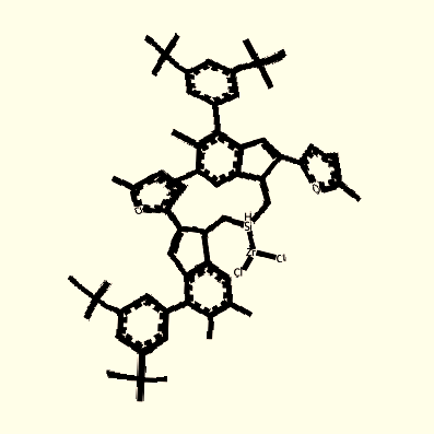 Cc1ccc(C2=Cc3c(cc(C)c(C)c3-c3cc(C(C)(C)C)cc(C(C)(C)C)c3)C2C[SiH](CC2C(c3ccc(C)o3)=Cc3c2cc(C)c(C)c3-c2cc(C(C)(C)C)cc(C(C)(C)C)c2)[Zr]([Cl])[Cl])o1